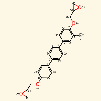 CCc1cc(-c2ccc(-c3ccc(OCC4CO4)cc3)cc2)ccc1OCC1CO1